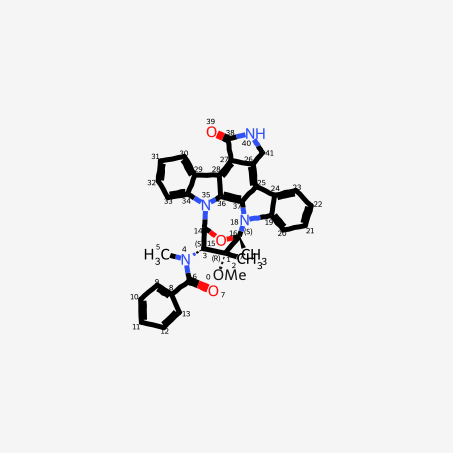 CO[C@]1(C)[C@H](N(C)C(=O)c2ccccc2)C2O[C@]1(C)n1c3ccccc3c3c4c(c5c6ccccc6n2c5c31)C(=O)NC4